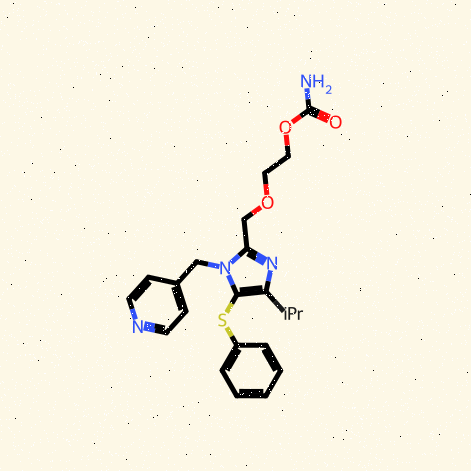 CC(C)c1nc(COCCOC(N)=O)n(Cc2ccncc2)c1Sc1ccccc1